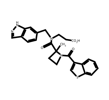 CC1(C(=O)N(CCC(=O)O)Cc2ccc3cn[nH]c3c2)CCN1C(=O)c1csc2ccccc12